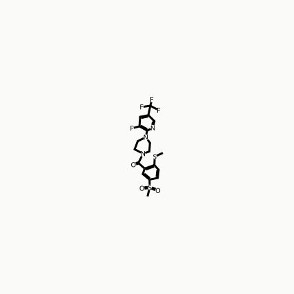 CSc1ccc(S(C)(=O)=O)cc1C(=O)N1CCN(c2ncc(C(F)(F)F)cc2F)CC1